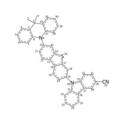 CC1(C)c2ccccc2N(c2ccc3c(c2)sc2cc(-n4c5ccccc5c5cc(C#N)ccc54)ccc23)c2ccccc21